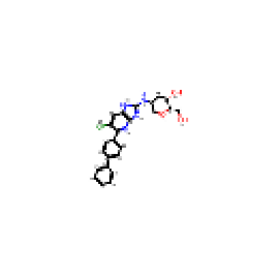 OC[C@H]1OCC(Nc2nc3nc(-c4ccc(-c5ccccc5)cc4)c(Cl)cc3[nH]2)C[C@@H]1O